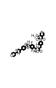 Cn1c(=O)n(-c2ccc(CC(NC(=O)c3cc(F)c(NS(=O)(=O)c4ccc(-c5cnc(C6CCOCC6)nc5)cc4)cc3F)C(=O)O)cc2)c(=O)c2ccncc21